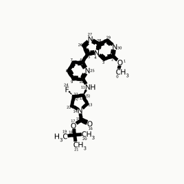 COc1cn2c(-c3cccc(N[C@H]4CN(C(=O)OC(C)(C)C)C[C@@H]4F)n3)cnc2cn1